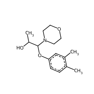 Cc1ccc(OC(C(C)O)N2CCOCC2)cc1C